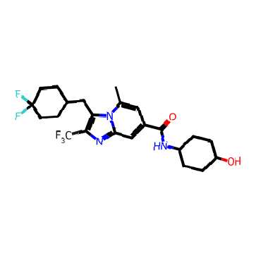 Cc1cc(C(=O)NC2CCC(O)CC2)cc2nc(C(F)(F)F)c(CC3CCC(F)(F)CC3)n12